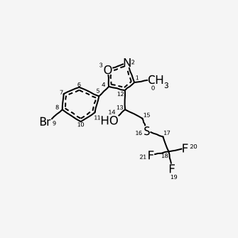 Cc1noc(-c2ccc(Br)cc2)c1C(O)CSCC(F)(F)F